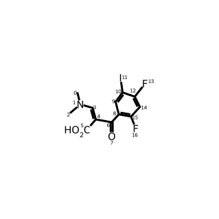 CN(C)C=C(C(=O)O)C(=O)c1cc(I)c(F)cc1F